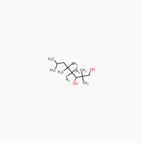 BC(C)(CC(C)C)C(C)(C)C(O)C(C)(C)CO